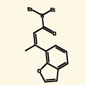 CCN(CC)C(=O)/C=C(/C)c1cccc2ccoc12